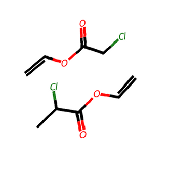 C=COC(=O)C(C)Cl.C=COC(=O)CCl